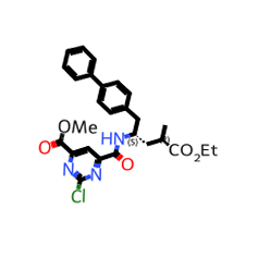 CCOC(=O)[C@H](C)C[C@@H](Cc1ccc(-c2ccccc2)cc1)NC(=O)c1cc(C(=O)OC)nc(Cl)n1